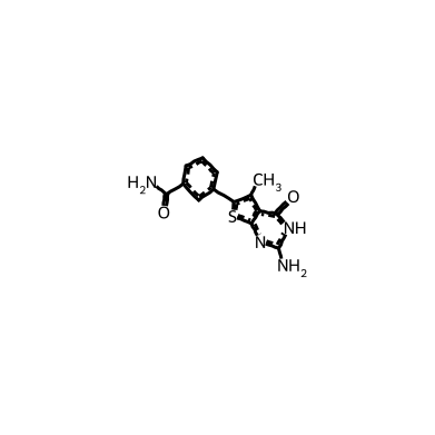 Cc1c(-c2cccc(C(N)=O)c2)sc2nc(N)[nH]c(=O)c12